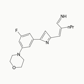 CCC/C(C=N)=C/C1=NC(c2cc(F)cc(N3CCOCC3)c2)=C1